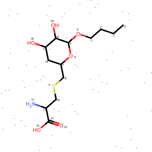 CCCCOC1OC(CSCC(N)C(=O)O)CC(O)C1O